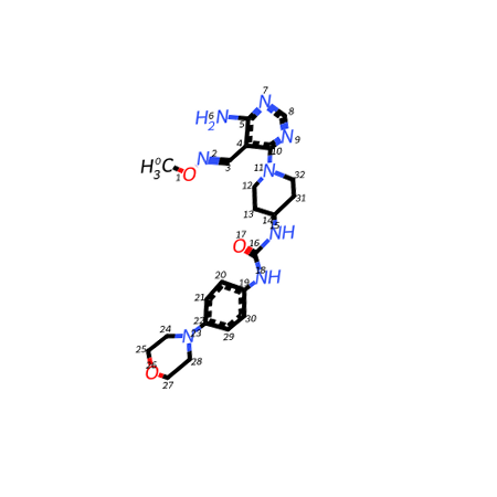 CO/N=C/c1c(N)ncnc1N1CCC(NC(=O)Nc2ccc(N3CCOCC3)cc2)CC1